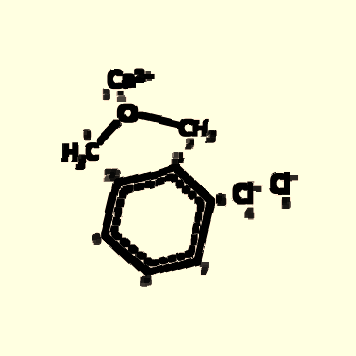 COC.[Ca+2].[Cl-].[Cl-].c1ccccc1